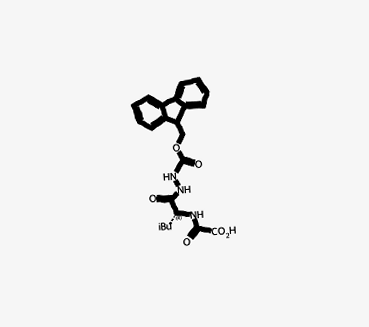 CCC(C)[C@@H](NC(=O)C(=O)O)C(=O)NNC(=O)OCC1c2ccccc2-c2ccccc21